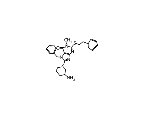 Cn1c(SCCc2ccccc2)nc2nc(N3CCCC(N)C3)n(Cc3ccccc3)c2c1=O